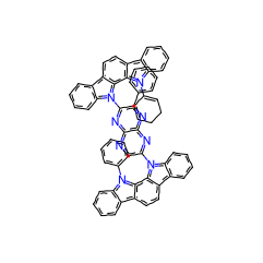 C1=CC(n2c3ccccc3c3ccc4c5ccccc5n(-c5nc6ncc(-n7c8ccccc8c8ccc9c%10ccccc%10n(-c%10ccccc%10)c9c87)nc6nc5-c5ccccc5)c4c32)=CCC1